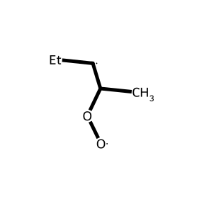 CC[CH]C(C)O[O]